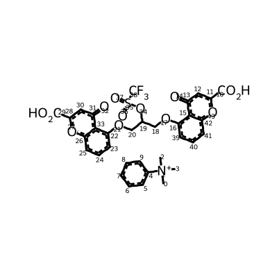 C[N+](C)(C)c1ccccc1.O=C(O)c1cc(=O)c2c(OCC(COc3cccc4oc(C(=O)O)cc(=O)c34)OS(=O)(=O)C(F)(F)F)cccc2o1